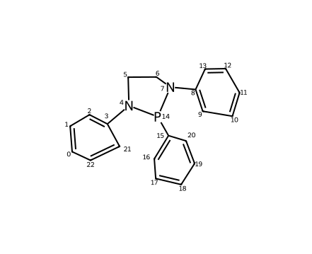 c1ccc(N2CCN(c3ccccc3)P2c2ccccc2)cc1